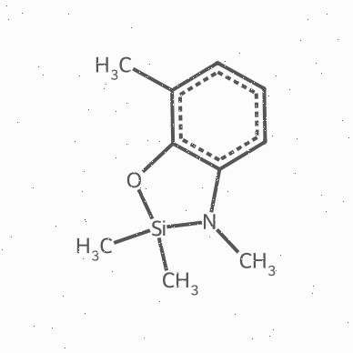 Cc1cccc2c1O[Si](C)(C)N2C